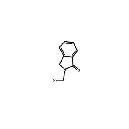 O=C1c2ccccc2CN1CBr